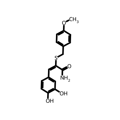 COc1ccc(CS/C(=C/c2ccc(O)c(O)c2)C(N)=O)cc1